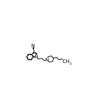 CCCCC1CCN(CCCn2cc(C#N)c3ccccc32)CC1